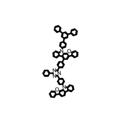 c1ccc(-c2cc(-c3ccccc3)cc(-c3ccc(-n4c5ccccc5c5c(-c6ccc(-c7nc(-c8ccccc8)nc(-c8ccc(-n9c%10ccccc%10c%10ccc%11c%12ccccc%12oc%11c%109)cc8)n7)cc6)cc6c7ccccc7oc6c54)cc3)c2)cc1